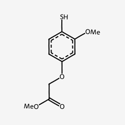 COC(=O)COc1ccc(S)c(OC)c1